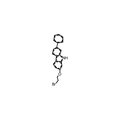 BrCCOc1ccc2c(c1)[nH]c1cc(-c3ccccc3)ccc12